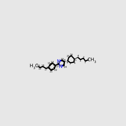 CCCCC[C@H]1CC[C@H](c2cnc(-c3ccc(CCCC)cc3)nc2)CC1